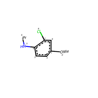 COc1ccc(NC(C)C)c(Cl)c1